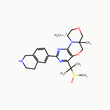 C[C@@H]1COCC2(C)COc3c(nc(-c4ccc5c(c4)CCNC5)nc3C(C)(C)[S+](C)[O-])N12